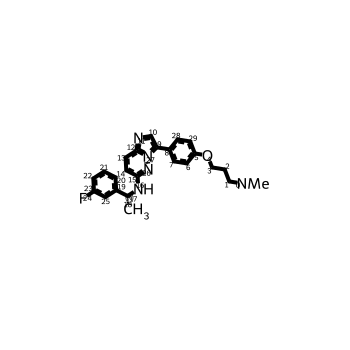 CNCCCOc1ccc(-c2cnc3ccc(N[C@H](C)c4cccc(F)c4)nn23)cc1